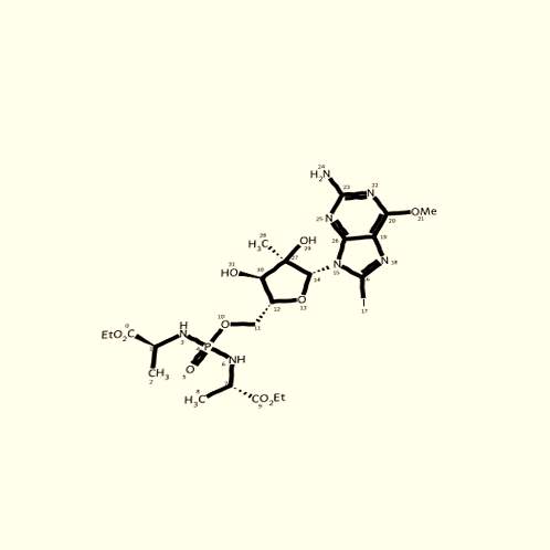 CCOC(=O)[C@H](C)NP(=O)(N[C@@H](C)C(=O)OCC)OC[C@H]1O[C@@H](n2c(I)nc3c(OC)nc(N)nc32)[C@](C)(O)[C@@H]1O